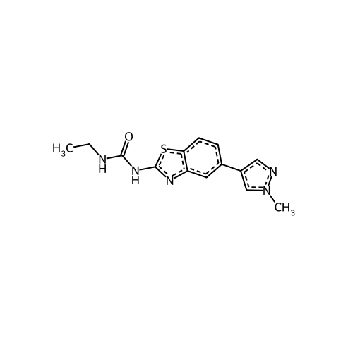 CCNC(=O)Nc1nc2cc(-c3cnn(C)c3)ccc2s1